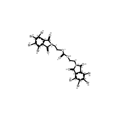 O=C(OCCN1C(=O)c2c(Br)c(Br)c(Br)c(Br)c2C1=O)OCCN1C(=O)c2c(Br)c(Br)c(Br)c(Br)c2C1=O